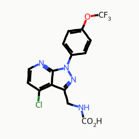 O=C(O)NCc1nn(-c2ccc(OC(F)(F)F)cc2)c2nccc(Cl)c12